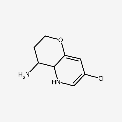 NC1CCOC2=CC(Cl)=CNC21